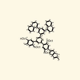 CCCCCCCCc1cc(-c2cc(-c3cc(CCCCCCCC)c(-c4cc5sc(C)cc5s4)cc3CCCCCCCC)nc(-c3cc(-c4cccc5ccccc45)cc(-c4cccc5ccccc45)c3)n2)c(CCCCCCCC)cc1C